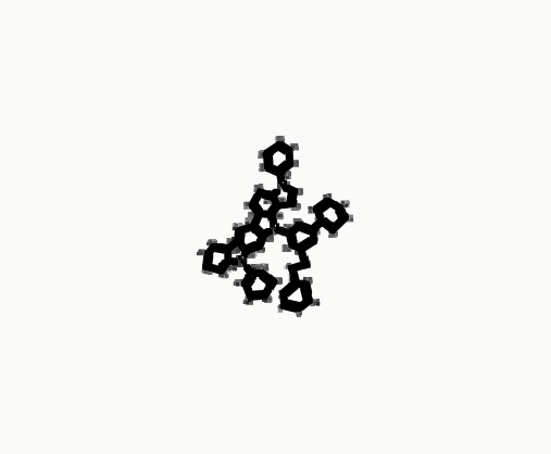 c1ccc(CCc2cc(-c3ccccc3)cc(-n3c4cc5c(cc4c4ccc6c(ccn6-c6ccccc6)c43)c3ccccc3n5-c3ccccc3)c2)cc1